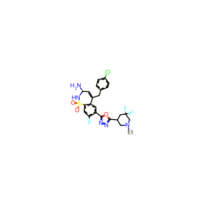 CCN1CC(c2nnc(-c3cc4c(cc3F)S(=O)(=O)N[C@@H](N)C=C4Cc3ccc(Cl)cc3)o2)CC(F)(F)C1